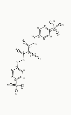 [N-]=[N+]=C(C(=O)CCc1ccc(S(=O)(=O)Cl)cc1)C(=O)CCc1ccc(S(=O)(=O)Cl)cc1